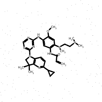 C=CC(=O)Nc1cc(Nc2ncnc(N3CC(C)(C)c4nc(C5CC5)ccc43)n2)c(OC)cc1N(C)CCN(C)C